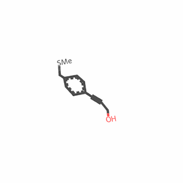 CSCc1ccc(C#CCO)cc1